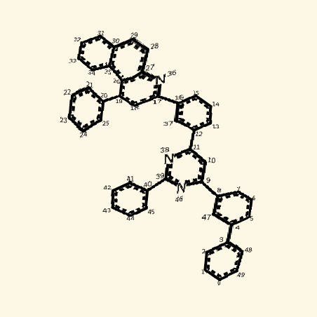 c1ccc(-c2cccc(-c3cc(-c4cccc(-c5cc(-c6ccccc6)c6c(ccc7ccccc76)n5)c4)nc(-c4ccccc4)n3)c2)cc1